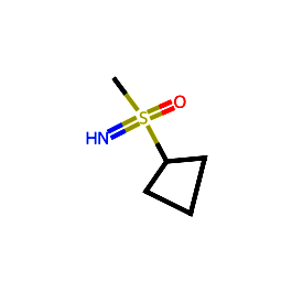 CS(=N)(=O)C1CCC1